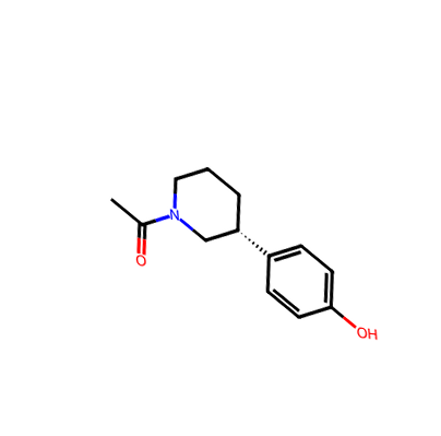 CC(=O)N1CCC[C@H](c2ccc(O)cc2)C1